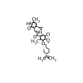 Cc1cc(C2CC2)c(CNC(=O)c2cc(Cl)c3c(c2C)O[C@@H]([C@H]2CC[C@@H](N(C)C)CC2)CO3)c(=O)[nH]1